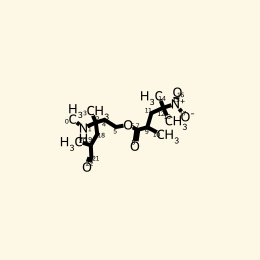 CNC(C)(CCOC(=O)C(C)CC(C)(C)[N+](=O)[O-])CC(C)C=O